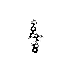 Cc1nn2c(C3CCN(C(=O)OC(C)(C)C)CC3)cc(=O)[nH]c2c1C(=O)NNC(=O)c1ccccc1F